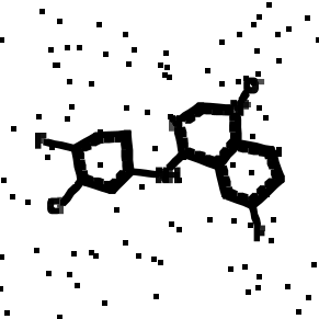 [O-][n+]1cnc(Nc2ccc(F)c(Cl)c2)c2cc(F)ccc21